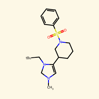 CN1C=C(C2CCCN(S(=O)(=O)c3ccccc3)C2)N(CC(C)(C)C)C1